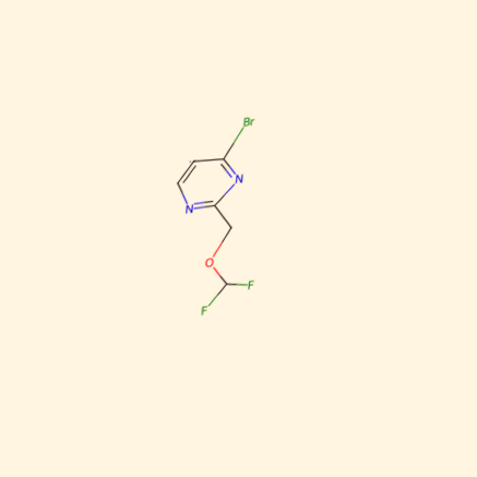 FC(F)OCc1nc[c]c(Br)n1